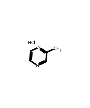 Cc1cnccn1.Cl